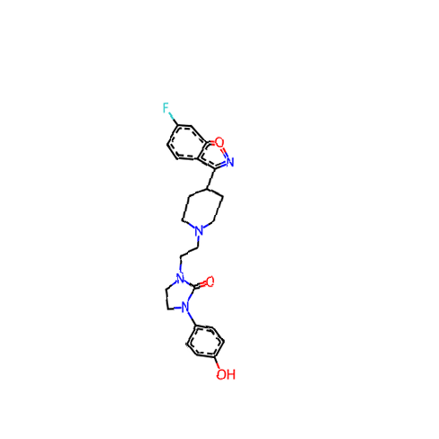 O=C1N(CCN2CCC(c3noc4cc(F)ccc34)CC2)CCN1c1ccc(O)cc1